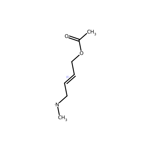 C[N]C/C=C/COC(C)=O